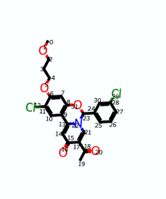 COCCCOc1cc2c(cc1Cl)-c1cc(=O)c(C(C)=O)cn1C(c1cccc(Cl)c1)O2